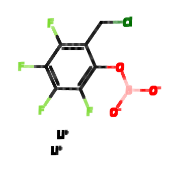 [Li+].[Li+].[O-]B([O-])Oc1c(F)c(F)c(F)c(F)c1CCl